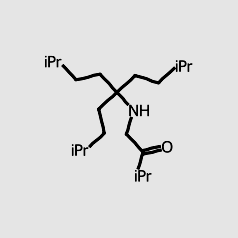 CC(C)CCC(CCC(C)C)(CCC(C)C)NCC(=O)C(C)C